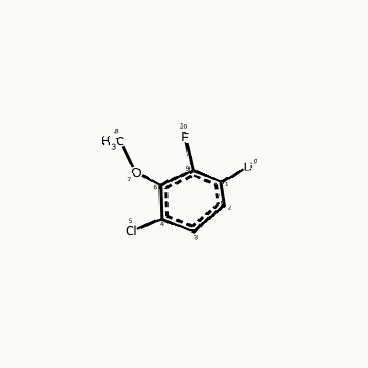 [Li][c]1ccc(Cl)c(OC)c1F